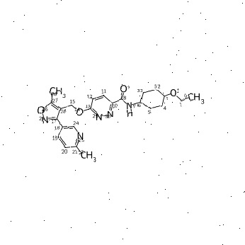 CCOC1CCC(NC(=O)c2ccc(OCc3c(-c4ccc(C)nc4)noc3C)nn2)CC1